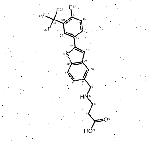 O=C(O)CCNCc1ccc2sc(-c3ccc(F)c(C(F)(F)F)c3)cc2c1